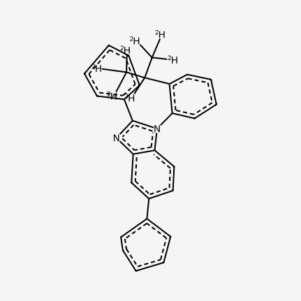 [2H]C([2H])([2H])C([2H])(c1ccccc1-n1c(-c2ccccc2)nc2cc(-c3ccccc3)ccc21)C([2H])([2H])[2H]